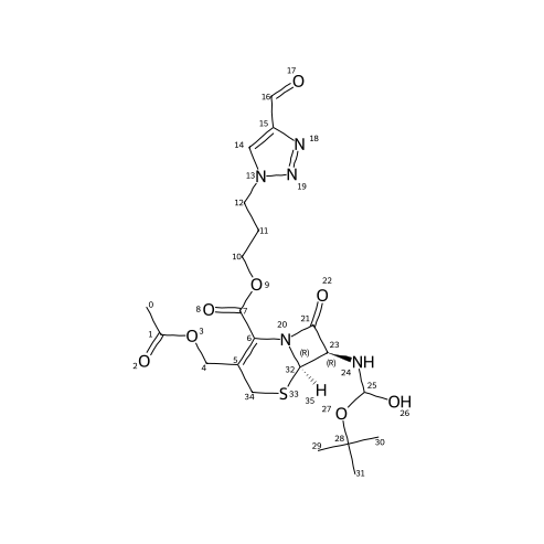 CC(=O)OCC1=C(C(=O)OCCCn2cc(C=O)nn2)N2C(=O)[C@@H](NC(O)OC(C)(C)C)[C@H]2SC1